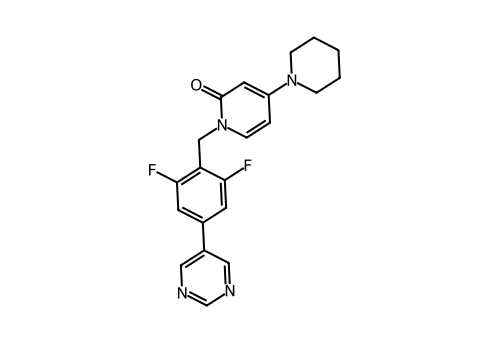 O=c1cc(N2CCCCC2)ccn1Cc1c(F)cc(-c2cncnc2)cc1F